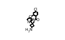 NC1CC(CNC(=O)c2ccc(Cl)cc2Cl)(c2ccccn2)C1